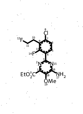 CCOC(=O)c1nc(-c2ccc(Cl)c(CCF)c2F)nc(N)c1OC